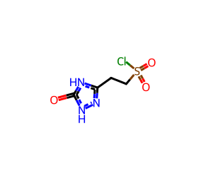 O=c1[nH]nc(CCS(=O)(=O)Cl)[nH]1